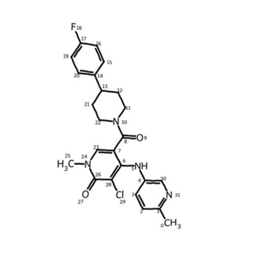 Cc1ccc(Nc2c(C(=O)N3CCC(c4ccc(F)cc4)CC3)cn(C)c(=O)c2Cl)cn1